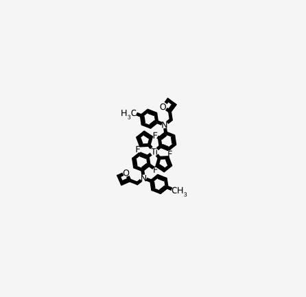 Cc1ccc(N(CC2=CCO2)c2ccc(F)[c]([Ti]([c]3c(F)ccc(N(CC4=CCO4)c4ccc(C)cc4)c3F)([CH]3C=CC=C3)[CH]3C=CC=C3)c2F)cc1